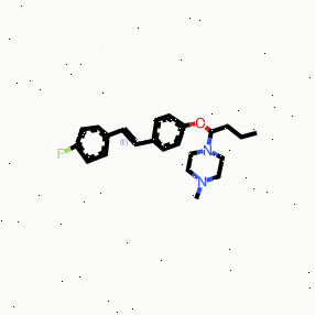 CCCC(Oc1ccc(/C=C/c2ccc(F)cc2)cc1)N1CCN(C)CC1